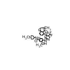 COc1cc(C(=O)NC2CCN(C)CC2)ccc1Nc1ncc(C(F)(F)F)c(Oc2cccc3c2C(=O)N(C)CCO3)n1